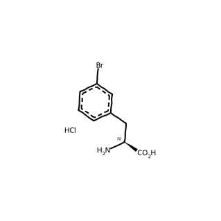 Cl.N[C@@H](Cc1cccc(Br)c1)C(=O)O